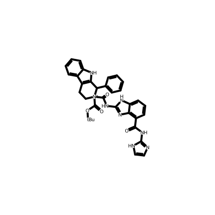 CC(C)(C)OC(=O)[N+]1(C(=O)Nc2nc3c(C(=O)Nc4ncc[nH]4)cccc3[nH]2)CCc2c([nH]c3ccccc23)C1c1ccccc1